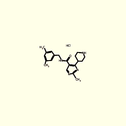 Cc1cc(C)cc(CNC(=O)c2cnc(C)nc2C2CCNCC2)c1.Cl